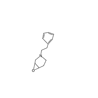 c1ccc(CCN2CCC3OC3C2)cc1